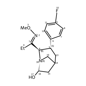 CCC(=NOC)[C@H]1[C@H](c2ccc(F)cc2)CC2CC(O)[N@@]1C2